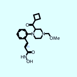 COCN1CCN(c2ccccc2/C=C/C(=O)NO)C(C(=O)C2CCC2)C1